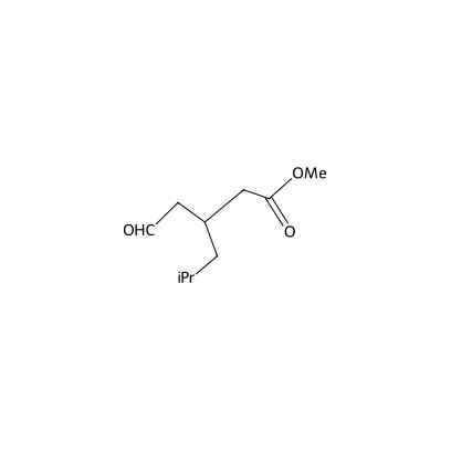 COC(=O)CC(CC=O)CC(C)C